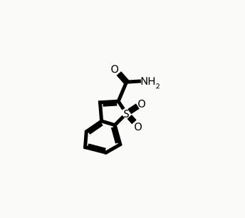 NC(=O)C1=Cc2ccccc2S1(=O)=O